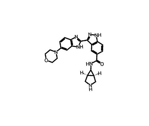 O=C(NC1[C@H]2CNC[C@@H]12)c1ccc2[nH]nc(-c3nc4ccc(N5CCOCC5)cc4[nH]3)c2c1